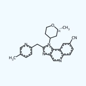 Cc1ccc(Cc2nc3cnc4ccc(C#N)cc4c3n2C2CCO[C@H](C)C2)nc1